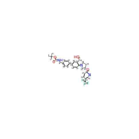 CC(C)(C)OC(=O)NCc1ccc(-c2ccc(N3CCC(Oc4ccc(C(F)(F)F)cn4)C3)c(CO)c2)cc1